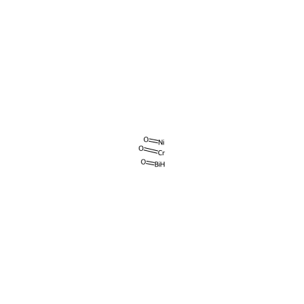 [O]=[BiH].[O]=[Cr].[O]=[Ni]